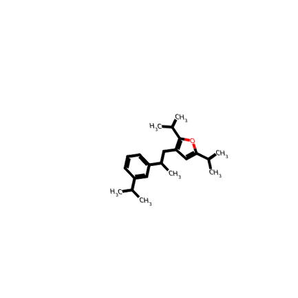 CC(C)c1cccc(C(C)Cc2cc(C(C)C)oc2C(C)C)c1